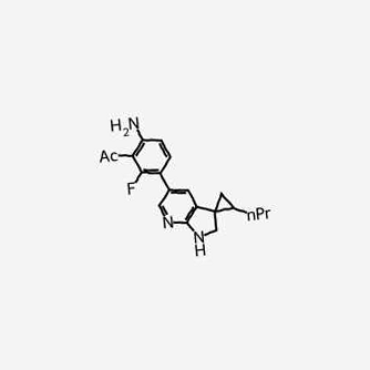 CCCC1CC12CNc1ncc(-c3ccc(N)c(C(C)=O)c3F)cc12